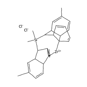 CC1=CC2C(C=C1)[C]13C=CC=CC1C2[Si](C)(C)C1C2C=C(C)C=CC2[C]2(C=CC=CC12)[Zr+2]3.[Cl-].[Cl-]